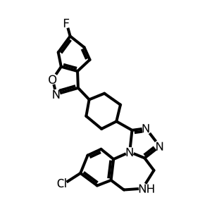 Fc1ccc2c(C3CCC(c4nnc5n4-c4ccc(Cl)cc4CNC5)CC3)noc2c1